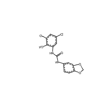 O=C(Nc1ccc2c(c1)OCO2)Nc1cc(Cl)cc(Cl)c1O